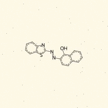 Oc1c(N=Nc2nc3ccccc3s2)ccc2ccccc12